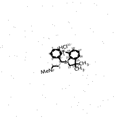 CNCC[C@H](c1ccccc1)N1CC(C)(C)c2cccc(F)c21.Cl